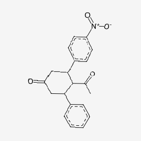 CC(=O)C1C(c2ccccc2)CC(=O)CC1c1ccc([N+](=O)[O-])cc1